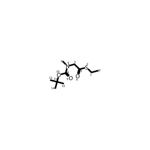 [CH2]CSC(=O)CN(C)C(=O)OC(C)(C)C